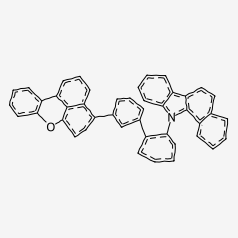 c1cc(-c2ccccc2-n2c3ccccc3c3ccc4ccccc4c32)cc(-c2ccc3c4c(cccc24)-c2ccccc2O3)c1